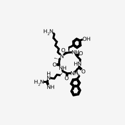 C[C@H]1C(=O)N[C@@H](CCCNC(=N)N)C(=O)N[C@@H](Cc2ccc3ccccc3c2)C(=O)NCC(=O)N[C@H](Cc2ccc(O)cc2)C(=O)N1CCCCCCN